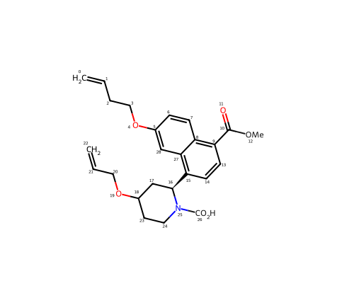 C=CCCOc1ccc2c(C(=O)OC)ccc([C@@H]3CC(OCC=C)CCN3C(=O)O)c2c1